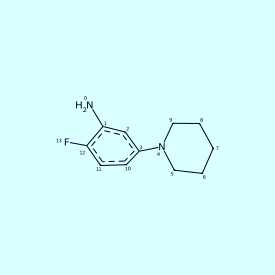 Nc1cc(N2CCCCC2)ccc1F